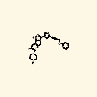 CN1CCN(c2cc3c(cc2F)-c2[nH]nc(-c4csc(C#CCOc5ccccc5)c4)c2C3)CC1